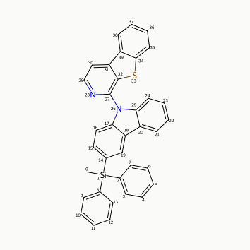 C[Si](c1ccccc1)(c1ccccc1)c1ccc2c(c1)c1ccccc1n2-c1nccc2c1sc1ccccc12